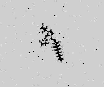 O=S(=O)(OC1N(CCC(F)(F)C(F)(F)C(F)(F)C(F)(F)C(F)(F)C(F)(F)F)C=CN1C(F)(F)C(F)F)C(F)(F)C(F)F